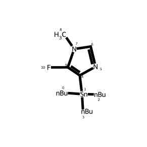 CCC[CH2][Sn]([CH2]CCC)([CH2]CCC)[c]1ncn(C)c1F